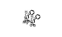 CC(=CS(=O)(=O)[O-])c1ccccc1.CC(=CS(=O)(=O)[O-])c1ccccc1.[Mg+2]